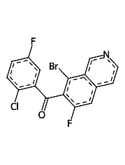 O=C(c1cc(F)ccc1Cl)c1c(F)cc2ccncc2c1Br